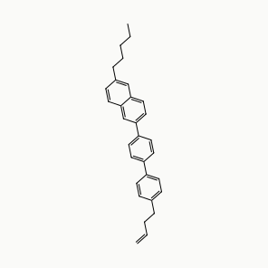 C=CCCc1ccc(-c2ccc(-c3ccc4cc(CCCCC)ccc4c3)cc2)cc1